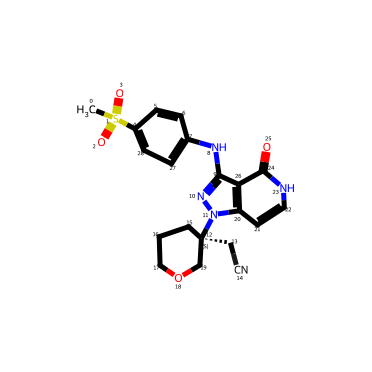 CS(=O)(=O)c1ccc(Nc2nn([C@]3(CC#N)CCCOC3)c3cc[nH]c(=O)c23)cc1